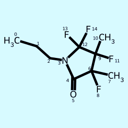 CCCN1C(=O)C(C)(F)C(C)(F)C1(F)F